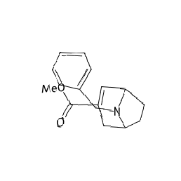 COC(=O)C1=CC2CCC(C1)N2Cc1ccccc1